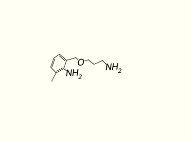 Cc1cccc(COCCCN)c1N